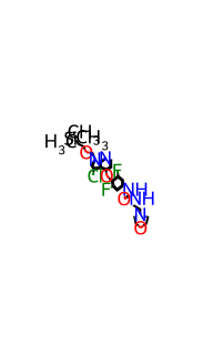 C[Si](C)(C)CCOCn1cc(Cl)c2c(Oc3c(F)cc(NC(=O)NCCN4CCOCC4)cc3F)ccnc21